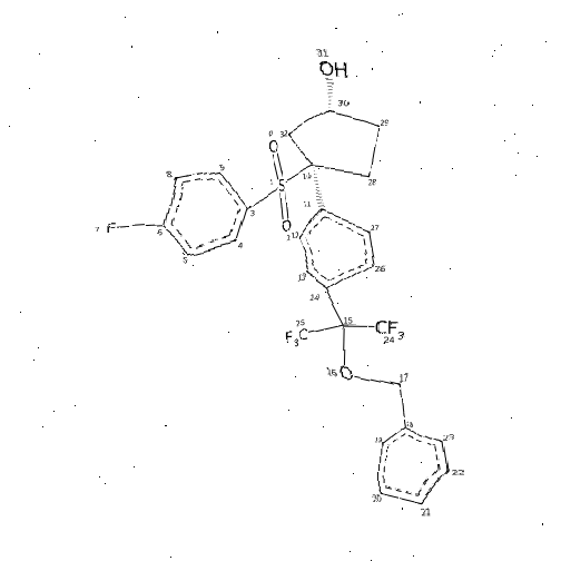 O=S(=O)(c1ccc(F)cc1)[C@]1(c2ccc(C(OCc3ccccc3)(C(F)(F)F)C(F)(F)F)cc2)CC[C@@H](O)C1